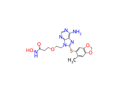 Cc1cc2c(cc1Sc1nc3c(N)ncnc3n1CCOCCC(=O)NO)OCO2